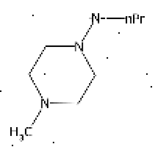 CCC[N]N1CCN(C)CC1